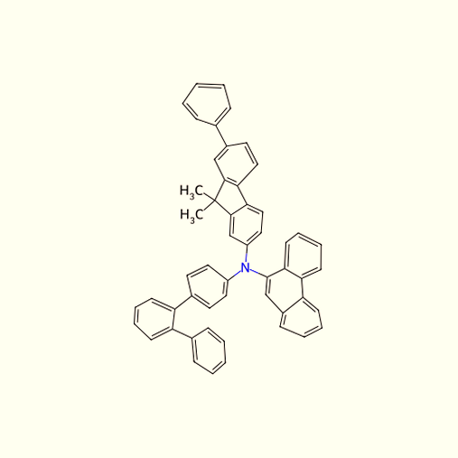 CC1(C)c2cc(-c3ccccc3)ccc2-c2ccc(N(c3ccc(-c4ccccc4-c4ccccc4)cc3)c3cc4ccccc4c4ccccc34)cc21